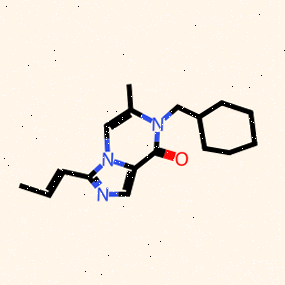 C/C=C/c1ncc2c(=O)n(CC3CCCCC3)c(C)cn12